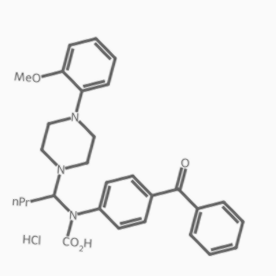 CCCC(N1CCN(c2ccccc2OC)CC1)N(C(=O)O)c1ccc(C(=O)c2ccccc2)cc1.Cl